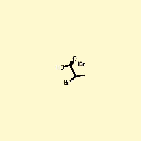 Br.CC(Br)C(=O)O